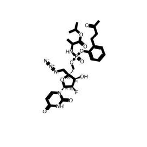 CC(=O)CCc1ccccc1OP(=O)(NC(C)C(=O)OC(C)C)OC[C@@]1(CN=[N+]=[N-])O[C@@H](n2ccc(=O)[nH]c2=O)[C@H](F)[C@@H]1O